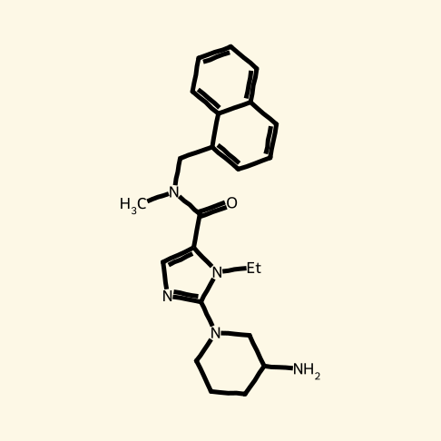 CCn1c(C(=O)N(C)Cc2cccc3ccccc23)cnc1N1CCCC(N)C1